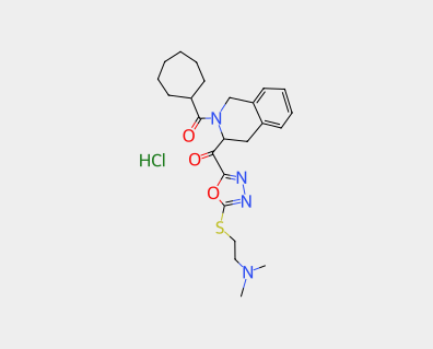 CN(C)CCSc1nnc(C(=O)C2Cc3ccccc3CN2C(=O)C2CCCCCC2)o1.Cl